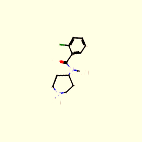 CN1CCC(N(C)C(=O)c2ccccc2Cl)CC1